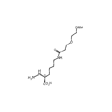 COCCOCCC(=O)NCCCC[C@H](NN)C(=O)O